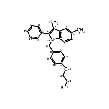 Cc1ccc2c(c1)c(C)c(-c1ccccc1)n2Cc1ccc(OCCBr)cc1